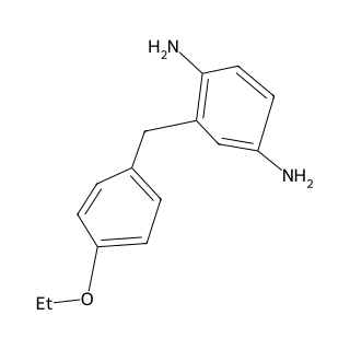 CCOc1ccc(Cc2cc(N)ccc2N)cc1